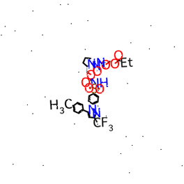 CCC(=O)OCON=[N+]([O-])N1CCC[C@H]1COC(=O)NS(=O)(=O)c1ccc(-n2nc(C(F)(F)F)cc2-c2ccc(C)cc2)cc1